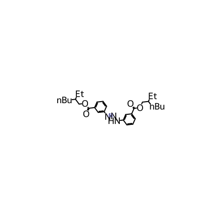 CCCCC(CC)COC(=O)c1cccc(/N=N/Nc2cccc(C(=O)OCC(CC)CCCC)c2)c1